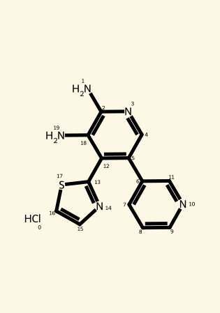 Cl.Nc1ncc(-c2cccnc2)c(-c2nccs2)c1N